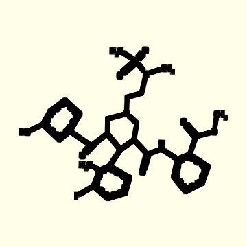 COC(=O)c1ccccc1NC(=O)C1CN(CCN(C)S(C)(=O)=O)CC(C(=O)c2cccc(O)c2)C1c1cccc(F)c1C